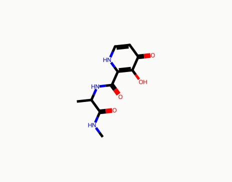 CNC(=O)C(C)NC(=O)c1[nH]ccc(=O)c1O